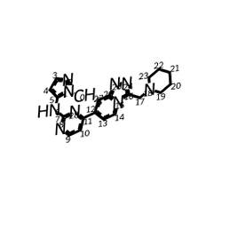 Cn1nccc1Nc1nccc(-c2ccn3c(CN4CCCCC4)nnc3c2)n1